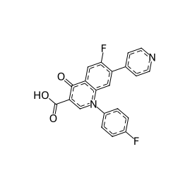 O=C(O)c1cn(-c2ccc(F)cc2)c2cc(-c3ccncc3)c(F)cc2c1=O